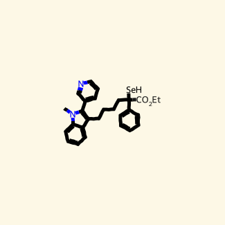 CCOC(=O)C([SeH])(CCCCc1c(-c2cccnc2)n(C)c2ccccc12)c1ccccc1